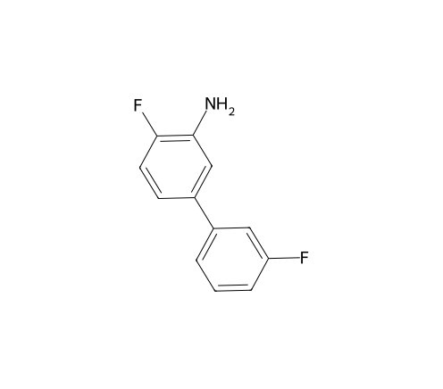 Nc1cc(-c2cccc(F)c2)ccc1F